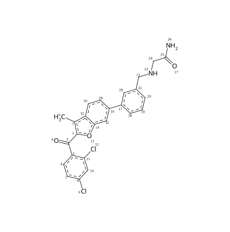 Cc1c(C(=O)c2ccc(Cl)cc2Cl)oc2cc(-c3cccc(CNCC(N)=O)c3)ccc12